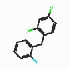 Fc1ccccc1Cc1ccc(Cl)cc1Cl